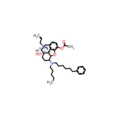 C=CCN1CC[C@]23c4c5ccc(OC(C)=O)c4OC2C(N(CCCCC)CCCCCCc2ccccc2)CC[C@@]3(O)[C@H]1C5